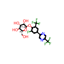 OC[C@H]1O[C@H](Oc2c(F)cc(-c3cnc(C(F)(F)F)cn3)cc2C(F)(F)F)[C@@H](O)[C@@H](O)[C@@H]1O